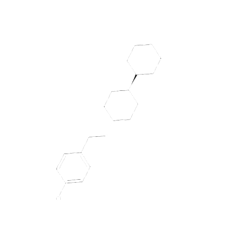 Clc1ccc(CC[C@H]2CC[C@H](C3CC[CH]CC3)CC2)cc1